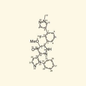 COc1c(-c2cccc(-c3cnn(C)c3)c2F)[nH]nc(-c2ccnn2-c2ccccc2)c1=O